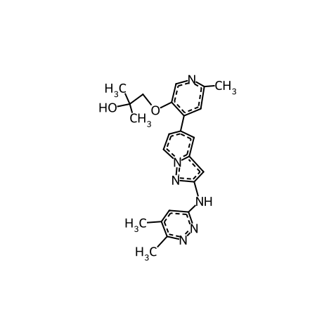 Cc1cc(-c2ccn3nc(Nc4cc(C)c(C)nn4)cc3c2)c(OCC(C)(C)O)cn1